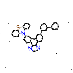 c1ccc(-c2cccc(-c3ccc4c(c3)c3cc(N5c6ccccc6Sc6ccccc65)ccc3c3nccnc43)c2)cc1